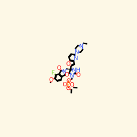 CCOP(=O)(OCC)OCN1C(=O)N[C@@](CN2Cc3ccc(OC)c(F)c3C2=O)(c2cc3nc(N4CCN(CC)CC4)ccc3o2)C1=O